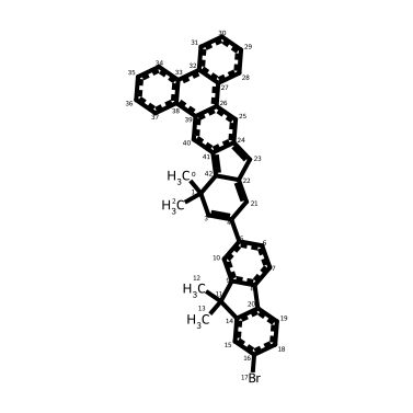 CC1(C)C=C(c2ccc3c(c2)C(C)(C)c2cc(Br)ccc2-3)C=C2C=c3cc4c5ccccc5c5ccccc5c4cc3=C21